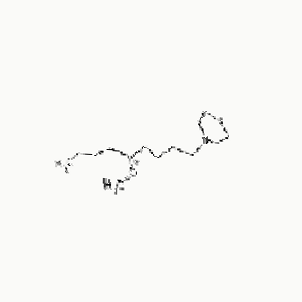 CCCC[C@@H](CCCCN1CCSCC1)OC